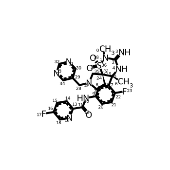 CN1C(=N)N[C@](C)(c2cc(NC(=O)c3ccc(F)cn3)ccc2F)[C@@]2(CCN(Cc3cncnc3)C2)S1(=O)=O